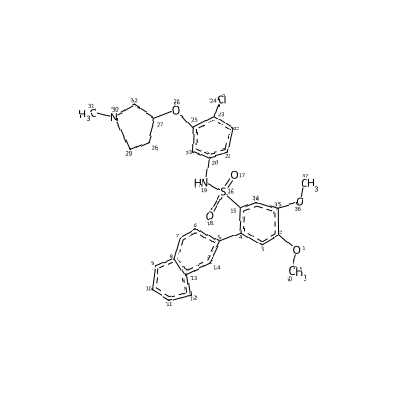 COc1cc(-c2ccc3ccccc3c2)c(S(=O)(=O)Nc2ccc(Cl)c(OC3CCN(C)C3)c2)cc1OC